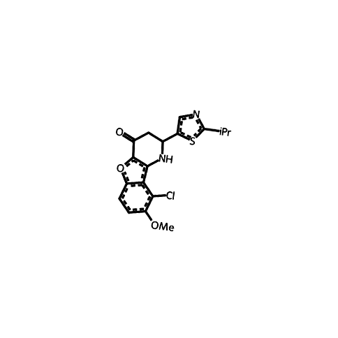 COc1ccc2oc3c(c2c1Cl)NC(c1cnc(C(C)C)s1)CC3=O